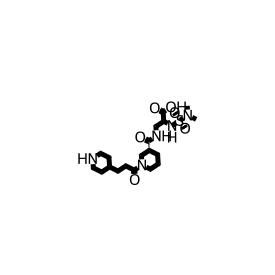 CN(C)S(=O)(=O)NC(CNC(=O)[C@@H]1CCCN(C(=O)CCC2CCNCC2)C1)C(=O)O